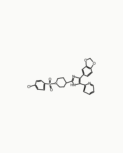 O=S(=O)(c1ccc(Cl)cc1)N1CCC(c2nc(-c3ccc4c(c3)OCO4)c(-c3ccccn3)[nH]2)CC1